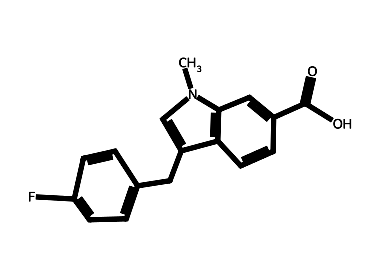 Cn1cc(Cc2ccc(F)cc2)c2ccc(C(=O)O)cc21